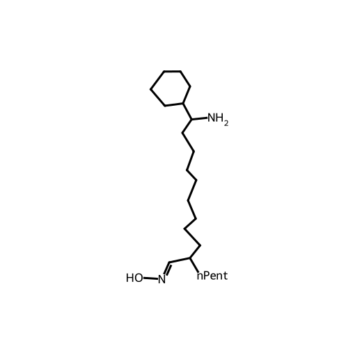 CCCCCC(C=NO)CCCCCCCCC(N)C1CCCCC1